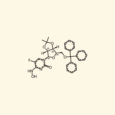 CC1(C)O[C@@H]2[C@H](O1)[C@@H](COC(c1ccccc1)(c1ccccc1)c1ccccc1)O[C@H]2n1cc(F)c(NO)nc1=O